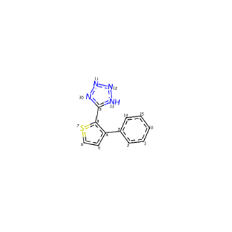 [c]1ccc(-c2ccsc2-c2nnn[nH]2)cc1